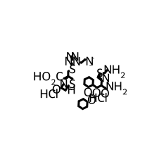 CN(C)CCn1nnnc1SCC1=C(C(=O)O)N2C(=O)C[C@@H]2SC1.Cl.Cl.NC(=O)C(c1csc(N)n1)C(OC(=O)OC1CCCCC1)C1CCCCC1